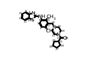 Cc1ccc(Nc2nc3ccccc3s2)c(C)c1CN1CCN(C(=O)C2CCCC2)CC1